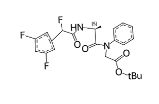 C[C@H](NC(=O)C(F)c1cc(F)cc(F)c1)C(=O)N(CC(=O)OC(C)(C)C)c1ccccc1